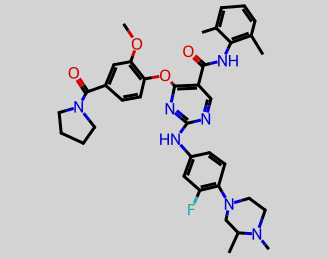 COc1cc(C(=O)N2CCCC2)ccc1Oc1nc(Nc2ccc(N3CCN(C)C(C)C3)c(F)c2)ncc1C(=O)Nc1c(C)cccc1C